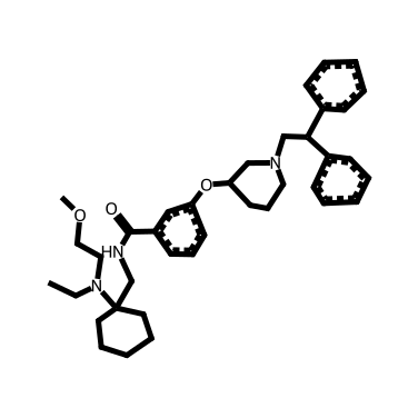 CCN(CCOC)C1(CNC(=O)c2cccc(OC3CCCN(CC(c4ccccc4)c4ccccc4)C3)c2)CCCCC1